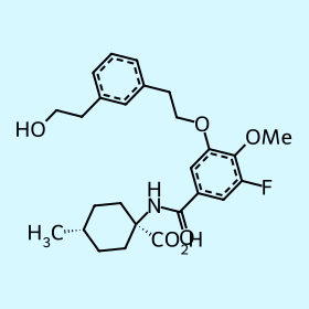 COc1c(F)cc(C(=O)N[C@]2(C(=O)O)CC[C@@H](C)CC2)cc1OCCc1cccc(CCO)c1